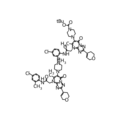 Cc1cc(Cl)ccc1NC(=O)Cn1c(C)c(N2CCN(C(=O)OC(C)(C)C)CC2)c(=O)n2nc(C3=CCOCC3)nc12.Cc1cc(Cl)ccc1NC(=O)Cn1c(C)c(N2CCNCC2)c(=O)n2nc(C3=CCOCC3)nc12